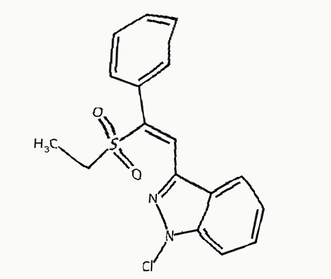 CCS(=O)(=O)/C(=C\c1nn(Cl)c2ccccc12)c1ccccc1